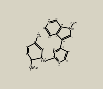 COC1C=CC(C#N)=CC1Nc1nccc(-c2cn(C(C)C)c3cnccc23)n1